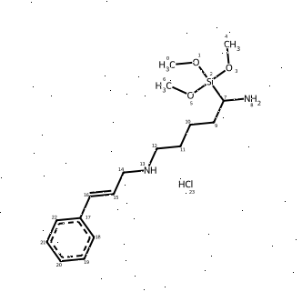 CO[Si](OC)(OC)C(N)CCCCNCC=Cc1ccccc1.Cl